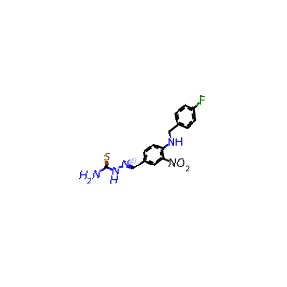 NC(=S)N/N=C/c1ccc(NCc2ccc(F)cc2)c([N+](=O)[O-])c1